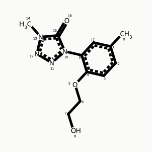 Cc1ccc(OCCO)c(-n2nnn(C)c2=O)c1